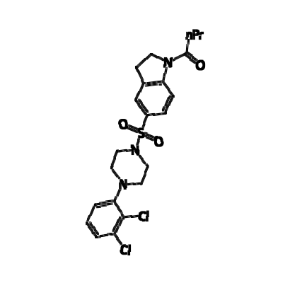 CCCC(=O)N1CCc2cc(S(=O)(=O)N3CCN(c4cccc(Cl)c4Cl)CC3)ccc21